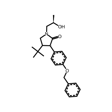 C[C@@H](O)CN1CC(C(C)(C)C)[C](c2ccc(OCc3ccccc3)cc2)C1=O